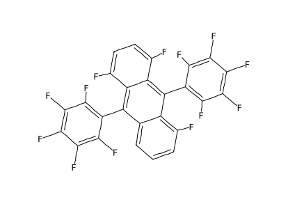 Fc1c(F)c(F)c(-c2c3cccc(F)c3c(-c3c(F)c(F)c(F)c(F)c3F)c3c(F)ccc(F)c23)c(F)c1F